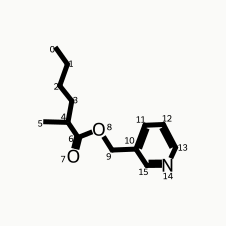 CCCCC(C)C(=O)OCc1cccnc1